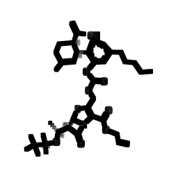 C=CCOC(=O)C1=C(COC(=O)Oc2cc(CCCCC)cc(O)c2[C@@H]2C=C(C)CC[C@H]2C(=C)C)SC2[C@@H]([C@@H](C)O[Si](C)(C)C(C)(C)C)C(=O)N12